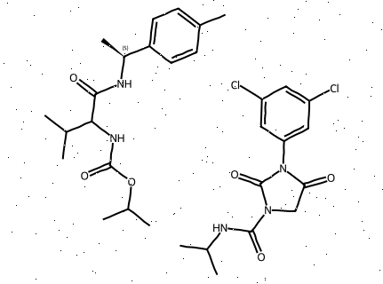 CC(C)NC(=O)N1CC(=O)N(c2cc(Cl)cc(Cl)c2)C1=O.Cc1ccc([C@H](C)NC(=O)C(NC(=O)OC(C)C)C(C)C)cc1